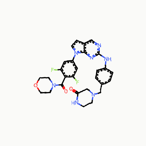 O=C1CN(Cc2ccc(Nc3ncc4ccn(-c5cc(F)c(C(=O)N6CCOCC6)c(F)c5)c4n3)cc2)CCN1